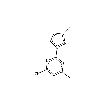 Cc1cc(Cl)nc(-n2ccc(C)n2)c1